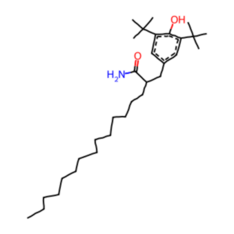 CCCCCCCCCCCCCCC(Cc1cc(C(C)(C)C)c(O)c(C(C)(C)C)c1)C(N)=O